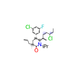 C=CC[C@@]1(C)C[C@H](c2cc(F)cc(Cl)c2)[C@@H](C(=C)/C=C\C(Cl)=C/C)N(C(C)C)C1=O